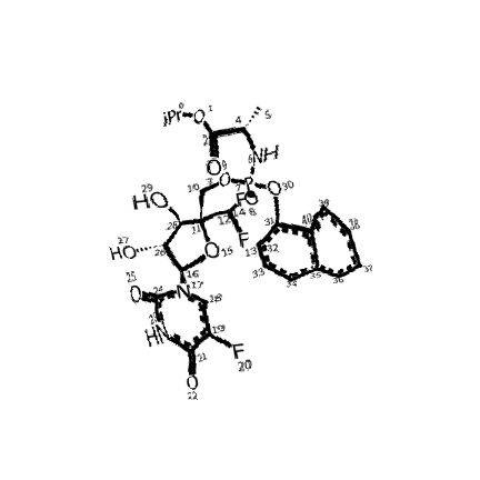 CC(C)OC(=O)[C@H](C)NP(=O)(OC[C@@]1(C(F)F)O[C@@H](n2cc(F)c(=O)[nH]c2=O)[C@H](O)[C@H]1O)Oc1cccc2ccccc12